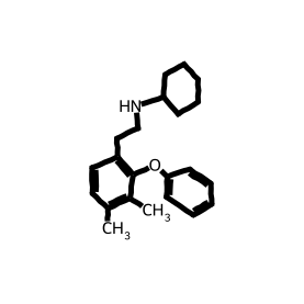 Cc1ccc(CCNC2CCCCC2)c(Oc2ccccc2)c1C